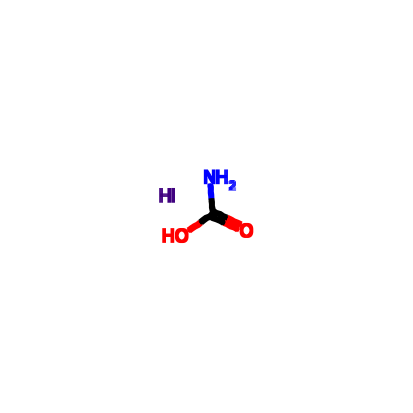 I.NC(=O)O